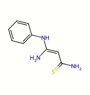 NC(=S)C=C(N)Nc1ccccc1